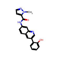 Cn1nccc1C(=O)Nc1ccc2cc(-c3ccccc3O)cnc2c1